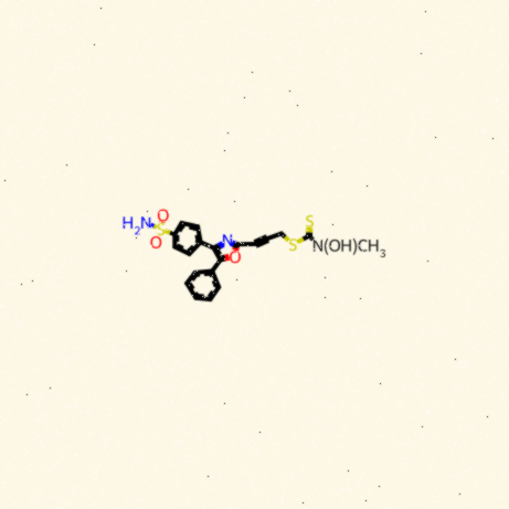 CN(O)C(=S)SCC#Cc1nc(-c2ccc(S(N)(=O)=O)cc2)c(-c2ccccc2)o1